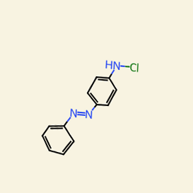 ClNc1ccc(/N=N/c2ccccc2)cc1